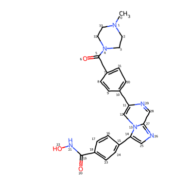 CN1CCN(C(=O)c2ccc(-c3cn4c(-c5ccc(C(=O)NO)cc5)cnc4cn3)cc2)CC1